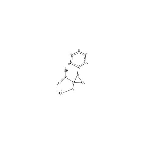 CCC1(C(=O)S)OC1c1ccccc1